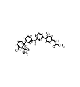 CC(=O)Nc1ccc(-c2ccnc(Nc3cccc(C4(Cl)C=CC=C(Cl)C4C(N)=O)c3)n2)c(Cl)c1